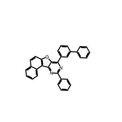 c1ccc(-c2cccc(-c3nc(-c4ccccc4)nc4c3oc3ccc5ccccc5c34)c2)cc1